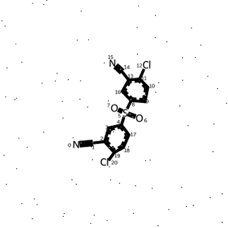 N#Cc1cc(S(=O)(=O)c2ccc(Cl)c(C#N)c2)ccc1Cl